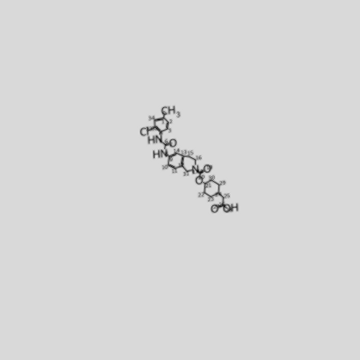 Cc1ccc(NC(=O)Nc2ccc3c(c2)CCN(C(=O)OC2CCC(CC(=O)O)CC2)C3)c(Cl)c1